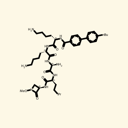 CCCCc1ccc(-c2ccc(C(=O)N[C@@H](CCCCN)C(=O)N[C@@H](CCCCN)C(=O)N[C@@H](N)C(=O)N[C@@H](CCC(C)C)C(=O)N[C@@H]3CN(OC)C3=O)cc2)cc1